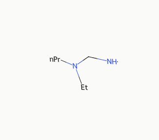 CCCN(CC)C[NH]